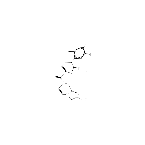 NC1CC(C(=O)N2C=CN3CC(C(F)(F)F)NC3C2)=CCC1c1cc(F)c(F)cc1F